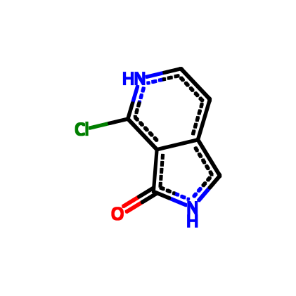 O=c1[nH]cc2cc[nH]c(Cl)c1-2